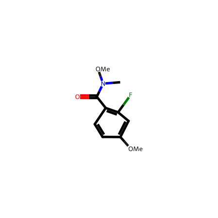 COc1ccc(C(=O)N(C)OC)c(F)c1